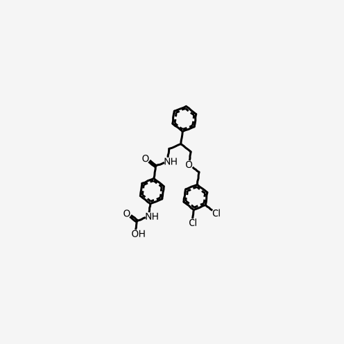 O=C(O)Nc1ccc(C(=O)NCC(COCc2ccc(Cl)c(Cl)c2)c2ccccc2)cc1